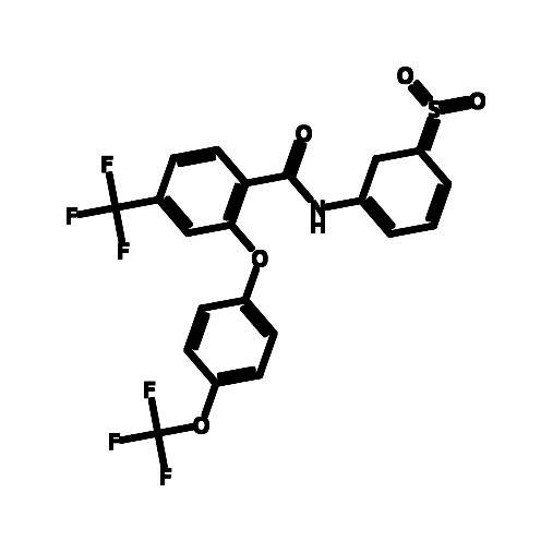 O=C(NC1=CC=CC(=S(=O)=O)C1)c1ccc(C(F)(F)F)cc1Oc1ccc(OC(F)(F)F)cc1